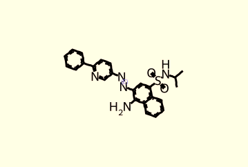 CC(C)NS(=O)(=O)c1cc(/N=N/c2ccc(-c3ccccc3)nc2)c(N)c2ccccc12